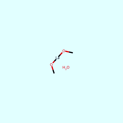 C[O][La][O]C.O